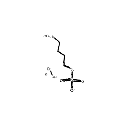 CCCCCCCCCCCCOS(=O)(=O)[O-].CCO.[K+]